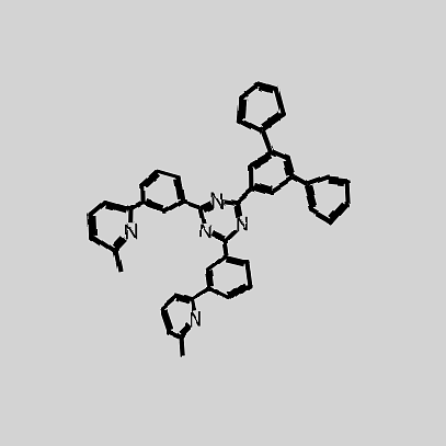 Cc1cccc(-c2cccc(-c3nc(-c4cc(-c5ccccc5)cc(-c5ccccc5)c4)nc(-c4cccc(-c5cccc(C)n5)c4)n3)c2)n1